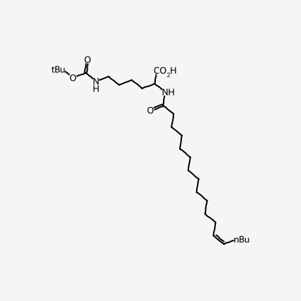 CCCC/C=C\CCCCCCCCCCCC(=O)NC(CCCCNC(=O)OC(C)(C)C)C(=O)O